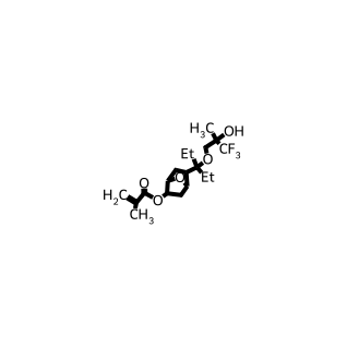 C=C(C)C(=O)OC1CC2OC1CC2C(CC)(CC)OCC(C)(O)C(F)(F)F